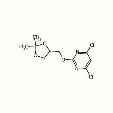 CC1(C)OCC(COc2nc(Cl)cc(Cl)n2)O1